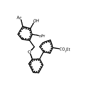 CCCc1c(COc2ccccc2-c2cccc(C(=O)OCC)c2)ccc(C(C)=O)c1O